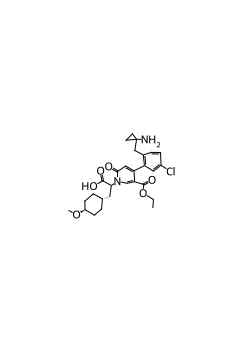 CCOC(=O)c1cn(C(C[C@H]2CC[C@H](OC)CC2)C(=O)O)c(=O)cc1-c1cc(Cl)ccc1CC1(N)CC1